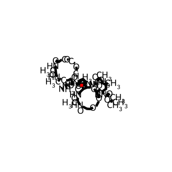 CC1CC(N=[N+]=[N-])C(C(=O)NOC(=O)C2C(C)NC(=O)C(C)NC(=O)CCOCCOCC(C[C@@H](CC(C)C(=O)OC(C)(C)C)NC(=O)OC(C)(C)C)OCC2(N=[N+]=[N-])c2ccccc2)OCCOCCOCCC(=O)NC(C)C(=O)N1